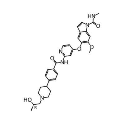 CNC(=O)n1ccc2cc(Oc3ccnc(NC(=O)c4ccc(C5CCN(C[C@@H](C)O)CC5)cc4)c3)c(OC)cc21